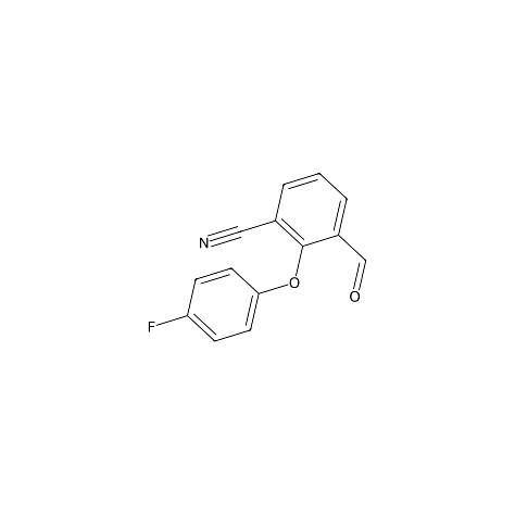 N#Cc1cccc(C=O)c1Oc1ccc(F)cc1